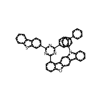 c1ccc(-c2ccc(-c3nc(-c4ccc5c(c4)sc4ccccc45)nc(-c4cccc5oc6cc7c8ccccc8n(-c8ccccc8)c7cc6c45)n3)cc2)cc1